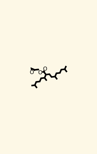 CC(C)CCCC(C)CCC(C(=O)OCC1CO1)C(C)CCCC(C)C